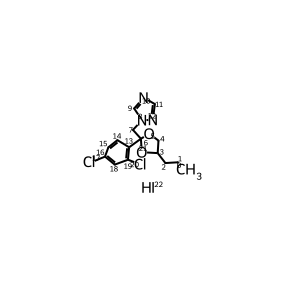 CCCC1COC(Cn2cncn2)(c2ccc(Cl)cc2Cl)O1.I